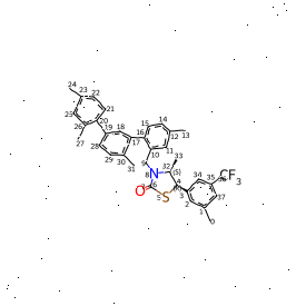 Cc1cc([C@H]2SC(=O)N(Cc3cc(C)ccc3-c3cc(-c4ccc(C)cc4C)ccc3C)[C@H]2C)cc(C(F)(F)F)c1